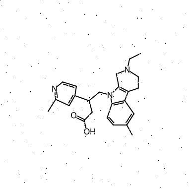 CCN1CCc2c(n(CC(CC(=O)O)c3ccnc(C)c3)c3ccc(C)cc23)C1